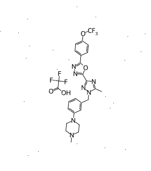 Cc1nc(-c2nnc(-c3ccc(OC(F)(F)F)cc3)o2)nn1Cc1cccc(N2CCN(C)CC2)c1.O=C(O)C(F)(F)F